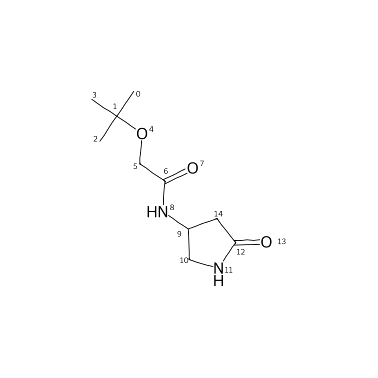 CC(C)(C)OCC(=O)NC1CNC(=O)C1